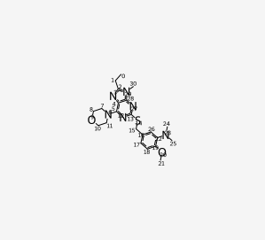 CCc1nc2c(N3CCOCC3)nc(SCc3ccc(OC)c(N(C)C)c3)nc2n1C